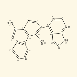 NC(=O)c1ccc(-c2ncnc3[nH]ccc23)c(C(F)(F)F)c1-c1ccccc1